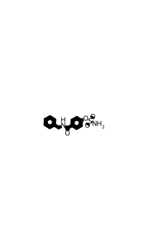 NS(=O)(=O)Oc1ccc(C(=O)NCc2ccccc2)cc1